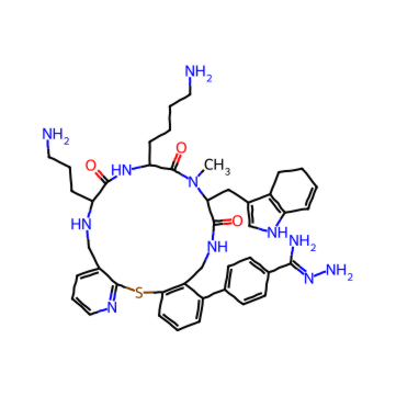 CN1C(=O)C(CCCCN)NC(=O)C(CCCN)NCc2cccnc2Sc2cccc(-c3ccc(/C(N)=N/N)cc3)c2CNC(=O)C1Cc1c[nH]c2c1CCC=C2